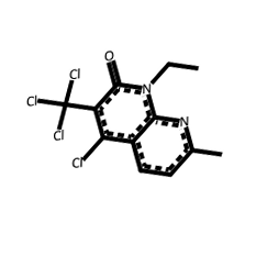 CCn1c(=O)c(C(Cl)(Cl)Cl)c(Cl)c2ccc(C)nc21